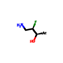 CC(=O)[C@@H](O)[C@H](F)CN